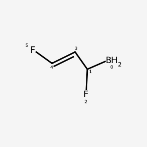 BC(F)C=CF